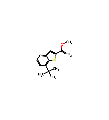 C=C(OC)c1cc2cccc(C(C)(C)C)c2s1